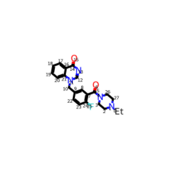 CCN1CCN(C(=O)c2cc(Cn3cnc(=O)c4ccccc43)ccc2F)CC1